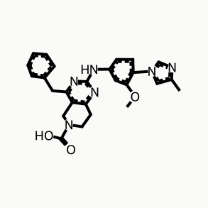 COc1cc(Nc2nc3c(c(Cc4ccccc4)n2)CN(C(=O)O)CC3)ccc1-n1cnc(C)c1